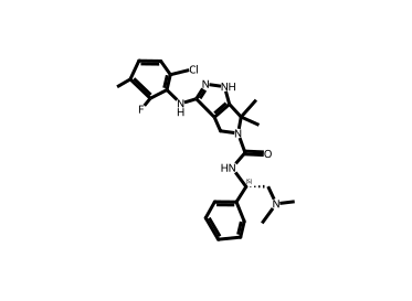 Cc1ccc(Cl)c(Nc2n[nH]c3c2CN(C(=O)N[C@H](CN(C)C)c2ccccc2)C3(C)C)c1F